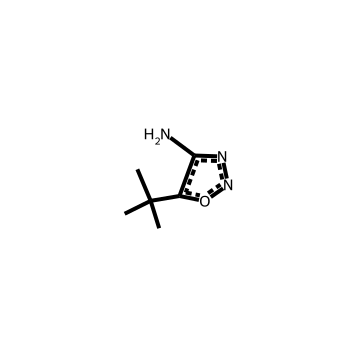 CC(C)(C)c1onnc1N